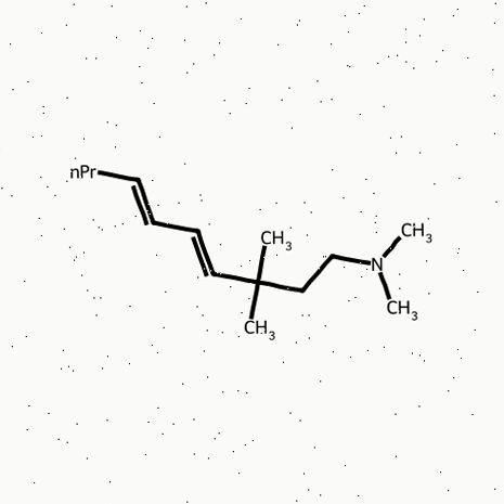 CCCC=CC=CC(C)(C)CCN(C)C